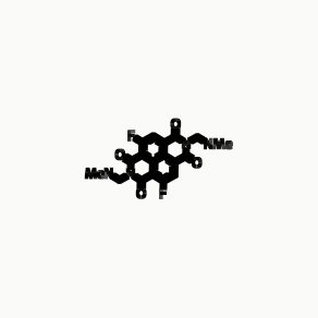 CNCN1C(=O)c2cc(F)c3c4c(c(F)cc(c24)C1=O)C(=O)N(CNC)C3=O